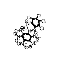 O=[N+]([O-])c1c(Cl)c(Cl)c(Cl)c(Cl)c1N=Nc1c([N+](=O)[O-])c([N+](=O)[O-])c([N+](=O)[O-])c([N+](=O)[O-])c1[N+](=O)[O-]